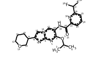 CC(C)Oc1nc2nc(C3CCCOC3)cn2cc1NC(=O)c1cccc(C(F)F)n1